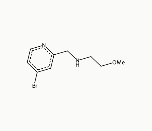 COCCNCc1cc(Br)ccn1